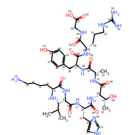 CC(C)C[C@H](NC(=O)[C@@H](N)CCCCN)C(=O)N[C@@H](Cc1c[nH]cn1)C(=O)N[C@H](C(=O)N[C@@H](C)C(=O)N[C@@H](Cc1ccc(O)cc1)C(=O)N[C@@H](CCCNC(=N)N)C(=O)NCC(=O)O)[C@@H](C)O